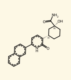 NC(=O)[C@@]1(O)CCC[C@H](c2ccc(-c3ccc4ccccc4c3)[nH]c2=O)C1